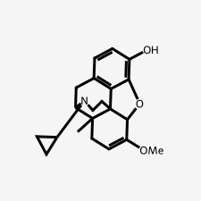 COC1=CCC2(C)C3Cc4ccc(O)c5c4C2(CCN3C2CC2)C1O5